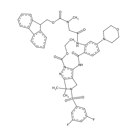 CCOC(=O)n1nc2c(c1NC(=O)c1ccc(N3CCOCC3)cc1NC(=O)CN(C)C(=O)OCC1c3ccccc3-c3ccccc31)CN(S(=O)(=O)c1cc(F)cc(F)c1)C2(C)C